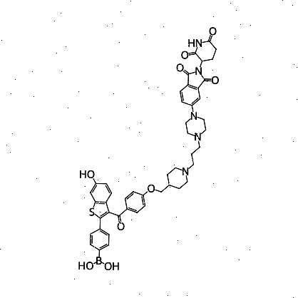 O=C1CCC(N2C(=O)c3ccc(N4CCN(CCCN5CCC(COc6ccc(C(=O)c7c(-c8ccc(B(O)O)cc8)sc8cc(O)ccc78)cc6)CC5)CC4)cc3C2=O)C(=O)N1